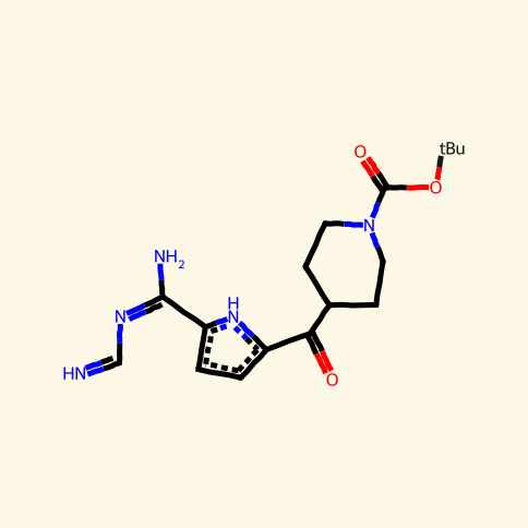 CC(C)(C)OC(=O)N1CCC(C(=O)c2ccc(/C(N)=N\C=N)[nH]2)CC1